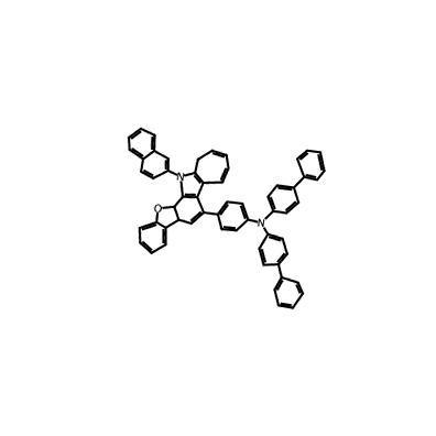 C1=CCc2c(c3c(n2-c2ccc4ccccc4c2)C2Oc4ccccc4C2C=C3c2ccc(N(c3ccc(-c4ccccc4)cc3)c3ccc(-c4ccccc4)cc3)cc2)C=C1